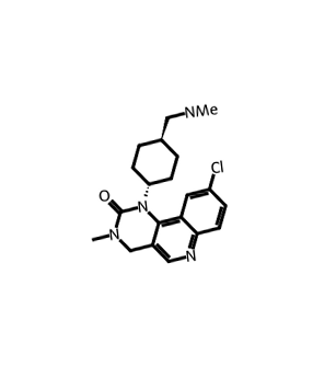 CNC[C@H]1CC[C@H](N2C(=O)N(C)Cc3cnc4ccc(Cl)cc4c32)CC1